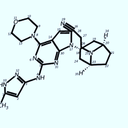 Cc1cc(Nc2nc(N3CCOCC3)c3ccn([C@@H]4C[C@H]5CC[C@@H](C4)N5CCC#N)c3n2)n[nH]1